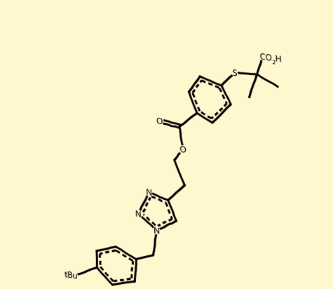 CC(C)(Sc1ccc(C(=O)OCCc2cn(Cc3ccc(C(C)(C)C)cc3)nn2)cc1)C(=O)O